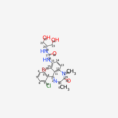 C[C@@H]1N=C(c2ccccc2Cl)c2c(ccc(NC(=O)NC(CO)CO)c2Br)N(C)C1=O